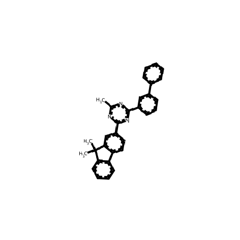 Cc1nc(-c2cccc(-c3ccccc3)c2)nc(-c2ccc3c(c2)C(C)(C)c2ccccc2-3)n1